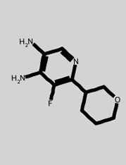 Nc1cnc(C2CCCOC2)c(F)c1N